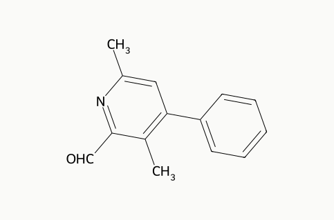 Cc1cc(-c2ccccc2)c(C)c(C=O)n1